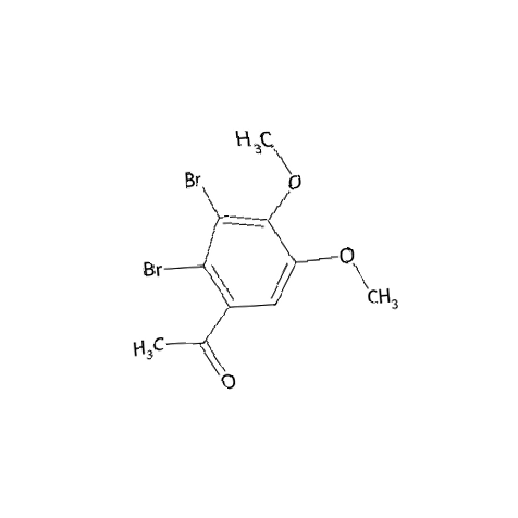 COc1cc(C(C)=O)c(Br)c(Br)c1OC